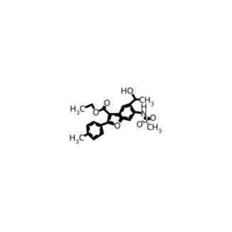 CCOC(=O)c1c(-c2ccc(C)cc2)oc2cc(NS(C)(=O)=O)c(C(C)O)cc12